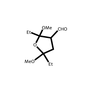 CCC1(OC)CC(C=O)C(CC)(OC)O1